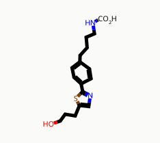 O=C(O)NCCCCc1ccc(-c2ncc(CCCO)s2)cc1